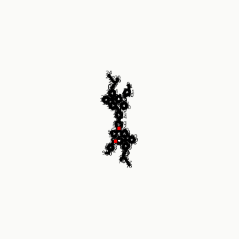 C=Cc1ccc(Sc2ccc(C3(c4ccc(OCC(CC)CCCC)cc4)c4ccccc4-c4ccc(N(c5ccccc5)c5ccc(-c6ccc(N(c7ccccc7)c7ccc8c(c7)C(c7ccc(OCC(CC)CCCC)cc7)(c7ccc(Sc9ccc(CC)cc9)cc7)c7ccccc7-8)cc6)cc5)cc43)cc2)cc1